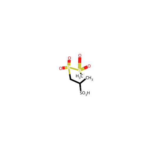 CC(CS(=O)(=O)S(C)(=O)=O)S(=O)(=O)O